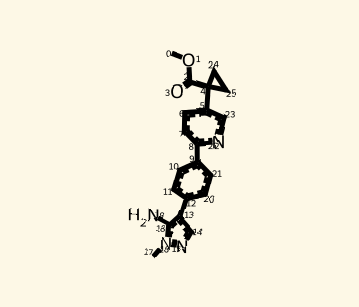 COC(=O)C1(c2ccc(-c3ccc(-c4cnn(C)c4N)cc3)nc2)CC1